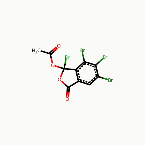 CC(=O)OC1(Br)OC(=O)c2cc(Br)c(Br)c(Br)c21